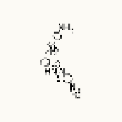 Nc1ccc(-c2nnc(Cc3cccc(C(=O)Nc4nc5c(s4)C[C@@H](N4CCOCC4)CC5)c3)s2)cc1